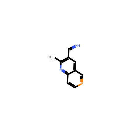 Cc1nc2ccpcc2cc1C=N